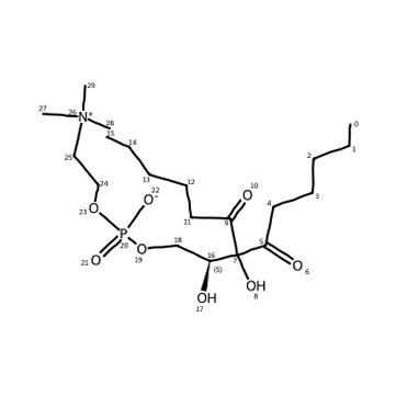 CCCCCC(=O)C(O)(C(=O)CCCCC)[C@@H](O)COP(=O)([O-])OCC[N+](C)(C)C